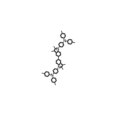 Cc1ccc(N(c2ccc(C)cc2)c2ccc(-n3c(C)c(C)c4cc(-c5ccc6c(c5)c(C)c(C)n6-c5ccc(N(c6ccc(C)cc6)c6ccc(C)cc6)cc5)ccc43)cc2)cc1